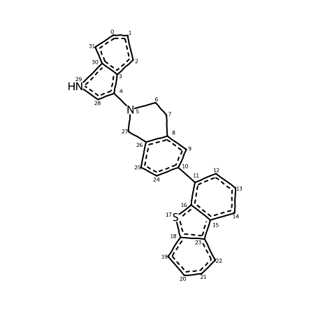 c1ccc2c(N3CCc4cc(-c5cccc6c5sc5ccccc56)ccc4C3)c[nH]c2c1